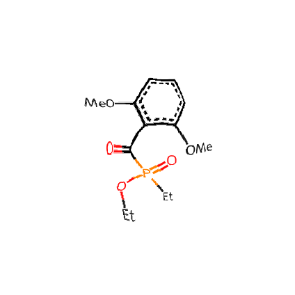 CCOP(=O)(CC)C(=O)c1c(OC)cccc1OC